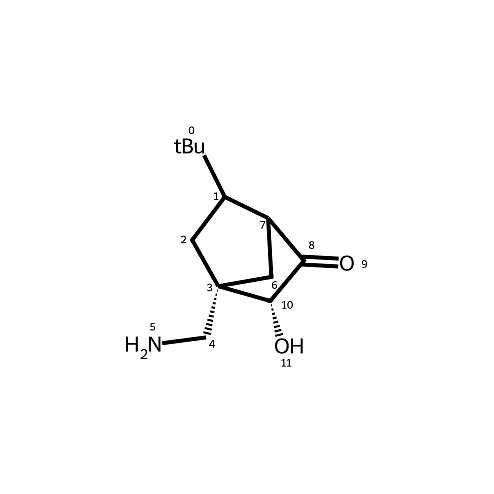 CC(C)(C)C1C[C@@]2(CN)CC1C(=O)[C@@H]2O